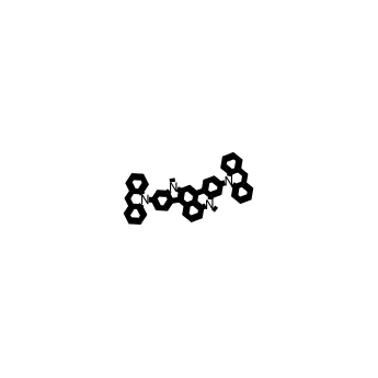 CN1c2cc(N3c4ccccc4Cc4ccccc43)ccc2-c2cc3c(c4cccc1c24)c1ccc(N2c4ccccc4Cc4ccccc42)cc1n3C